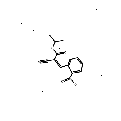 CC(C)OC(=O)C(C#N)=Cc1ccccc1[N+](=O)[O-]